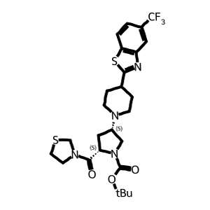 CC(C)(C)OC(=O)N1C[C@@H](N2CCC(c3nc4cc(C(F)(F)F)ccc4s3)CC2)C[C@H]1C(=O)N1CCSC1